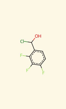 OC(Cl)c1ccc(F)c(F)c1F